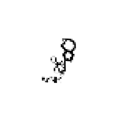 CC(=O)NC[C@H]1CN(c2ccc3c(c2)CSCCC3)C(=O)O1